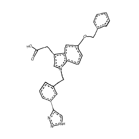 O=C(O)Cc1cn(Cc2cccc(-c3c[nH]nn3)c2)c2ccc(OCc3ccccc3)cc12